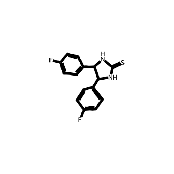 Fc1ccc(C2NC(=S)NC2c2ccc(F)cc2)cc1